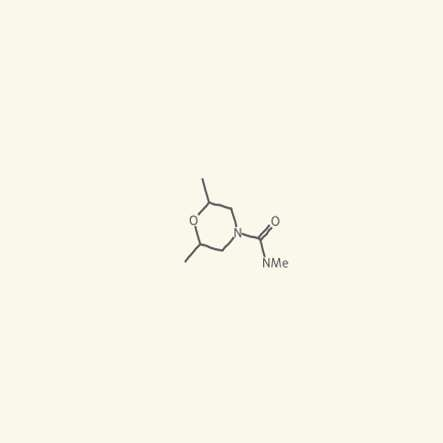 CNC(=O)N1CC(C)OC(C)C1